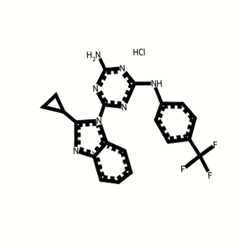 Cl.Nc1nc(Nc2ccc(C(F)(F)F)cc2)nc(-n2c(C3CC3)nc3ccccc32)n1